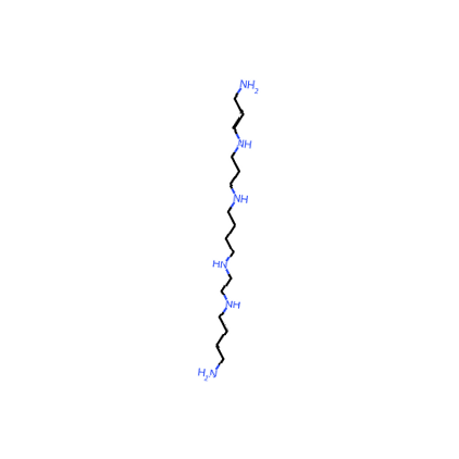 NCCCCNCCNCCCCNCCCNCCCN